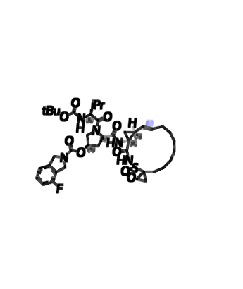 CC(C)[C@H](NC(=O)OC(C)(C)C)C(=O)N1C[C@H](OC(=O)N2Cc3cccc(F)c3C2)C[C@H]1C(=O)N[C@]12C[C@H]1/C=C/CCCCCCCC1(CC1)S(=O)(=O)NC2=O